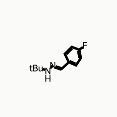 CC(C)(C)NN=Cc1ccc(F)cc1